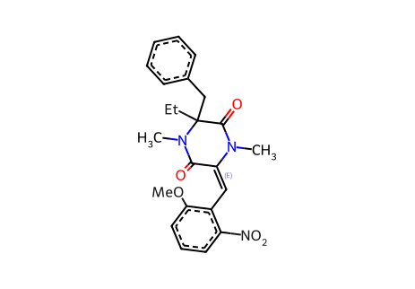 CCC1(Cc2ccccc2)C(=O)N(C)/C(=C/c2c(OC)cccc2[N+](=O)[O-])C(=O)N1C